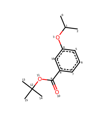 CC(C)Oc1cccc(C(=O)OC(C)(C)C)c1